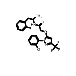 CC(Cc1ccccc1F)NC(=O)COc1cc(C(F)(F)F)nn1-c1ccccc1Cl